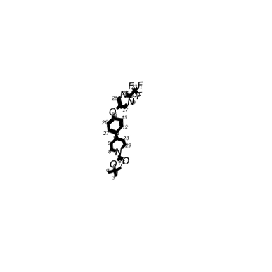 CC(C)(C)OC(=O)N1CCC(c2ccc(Oc3cnc(C(F)(F)F)nc3)cc2)CC1